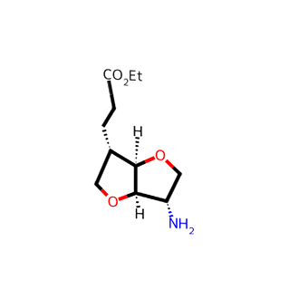 CCOC(=O)CC[C@H]1CO[C@H]2[C@@H]1OC[C@@H]2N